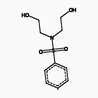 O=S(=O)(c1cc[c]cc1)N(CCO)CCO